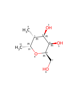 C[C@@H]1[C@@H](O)[C@@H](O)[C@@H](CO)O[C@@H]1C